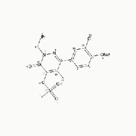 COc1ccc(-c2nn(CC(C)C)c(=O)c(OS(C)(=O)=O)c2C)cc1Cl